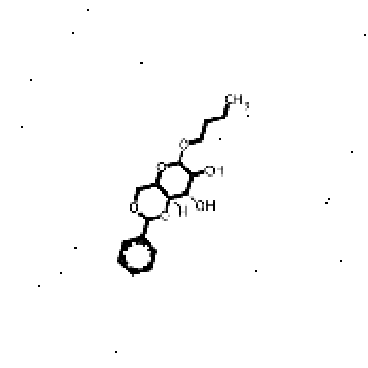 CCCCO[C@@H]1OC2COC(c3ccccc3)O[C@@H]2[C@@H](O)C1O